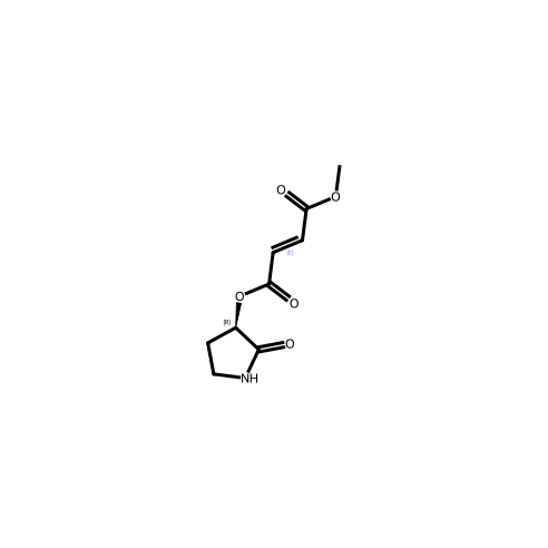 COC(=O)/C=C/C(=O)O[C@@H]1CCNC1=O